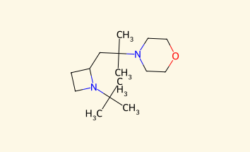 CC(C)(C)N1CCC1CC(C)(C)N1CCOCC1